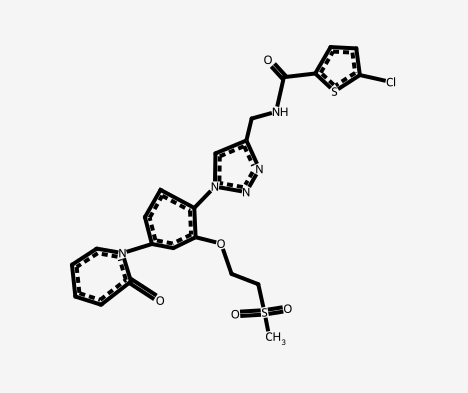 CS(=O)(=O)CCOc1cc(-n2ccccc2=O)ccc1-n1cc(CNC(=O)c2ccc(Cl)s2)nn1